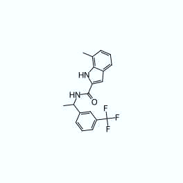 Cc1cccc2cc(C(=O)NC(C)c3cccc(C(F)(F)F)c3)[nH]c12